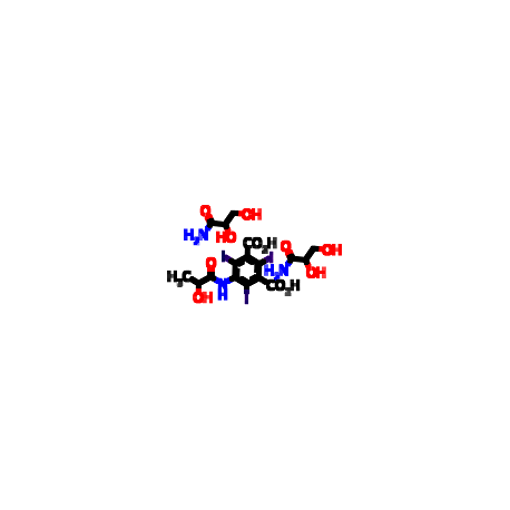 CC(O)C(=O)Nc1c(I)c(C(=O)O)c(I)c(C(=O)O)c1I.NC(=O)C(O)CO.NC(=O)C(O)CO